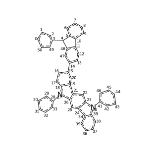 c1ccc(C2c3ccccc3-c3ccc(-c4ccc5c(c4)c4cc6c(cc4n5-c4ccccc4)c4ccccc4n6-c4ccccc4)cc32)cc1